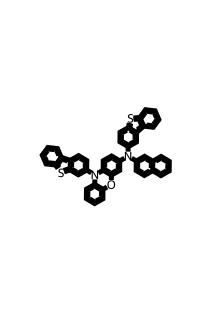 c1ccc2c(c1)Oc1cc(N(c3ccc4ccccc4c3)c3ccc4sc5ccccc5c4c3)ccc1N2c1ccc2c(c1)sc1ccccc12